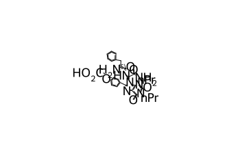 CCCn1c(=O)c2nc(-c3ccc(OCC(=O)O)cc3)n(C(NC(=O)[C@@H](N)Cc3ccccc3)C(N)=O)c2n(CCC)c1=O